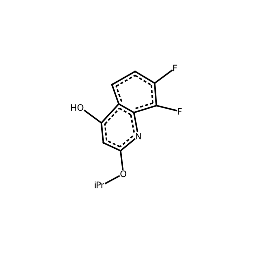 CC(C)Oc1cc(O)c2ccc(F)c(F)c2n1